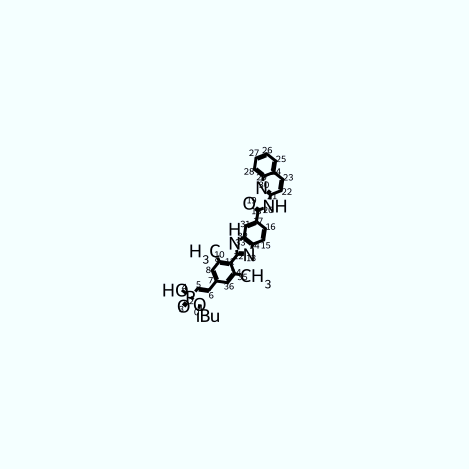 CCC(C)OP(=O)(O)C=Cc1cc(C)c(-c2nc3ccc(C(=O)Nc4ccc5ccccc5n4)cc3[nH]2)c(C)c1